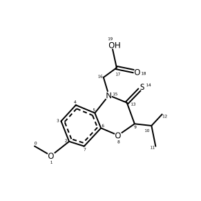 COc1ccc2c(c1)OC(C(C)C)C(=S)N2CC(=O)O